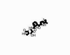 Cc1csc2cc(C(=O)N3C4CCC(CC4)[C@@H]3C(=O)N[C@@H](C[C@@H]3CCNC3=O)C(=O)CO)[nH]c12